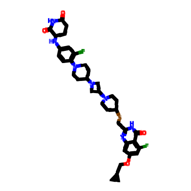 O=C1CCC(Nc2ccc(N3CCC(N4CC(N5CCC(SCc6nc7cc(OCC8CC8)cc(F)c7c(=O)[nH]6)CC5)C4)CC3)c(F)c2)C(=O)N1